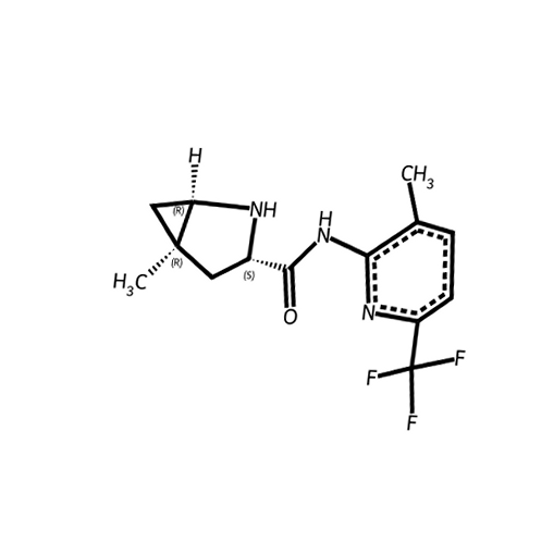 Cc1ccc(C(F)(F)F)nc1NC(=O)[C@@H]1C[C@@]2(C)C[C@H]2N1